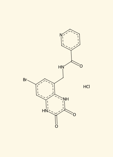 Cl.O=C(NCc1cc(Br)cc2[nH]c(=O)c(=O)[nH]c12)c1cccnc1